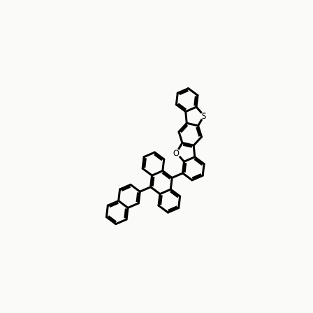 c1ccc2cc(-c3c4ccccc4c(-c4cccc5c4oc4cc6c(cc45)sc4ccccc46)c4ccccc34)ccc2c1